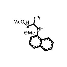 CCCC(Nc1cccc2ccccc12)[SiH](OC)OC